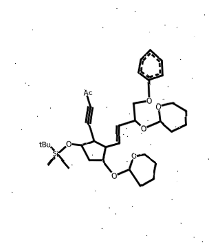 CC(=O)C#CC1C(O[Si](C)(C)C(C)(C)C)CC(OC2CCCCO2)C1C=CC(COc1ccccc1)OC1CCCCO1